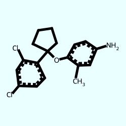 Cc1cc(N)ccc1OC1(c2ccc(Cl)cc2Cl)CCCC1